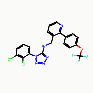 FC(F)(F)Oc1ccc(-c2ncccc2CNc2nnnn2-c2cccc(Cl)c2Cl)cc1